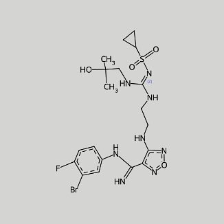 CC(C)(O)CN/C(=N\S(=O)(=O)C1CC1)NCCNc1nonc1C(=N)Nc1ccc(F)c(Br)c1